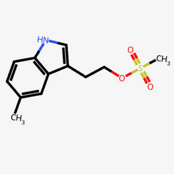 Cc1ccc2[nH]cc(CCOS(C)(=O)=O)c2c1